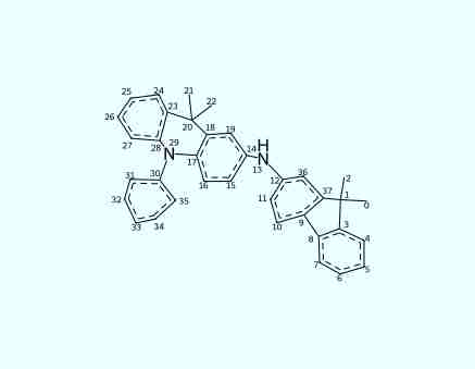 CC1(C)c2ccccc2-c2ccc(Nc3ccc4c(c3)C(C)(C)c3ccccc3N4c3ccccc3)cc21